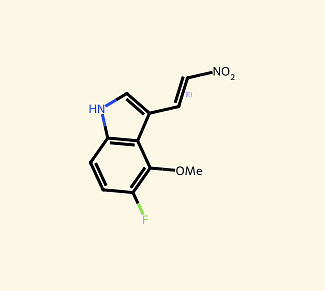 COc1c(F)ccc2[nH]cc(/C=C/[N+](=O)[O-])c12